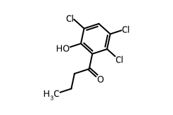 CCCC(=O)c1c(O)c(Cl)cc(Cl)c1Cl